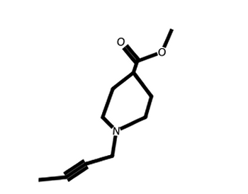 CC#CCN1CCC(C(=O)OC)CC1